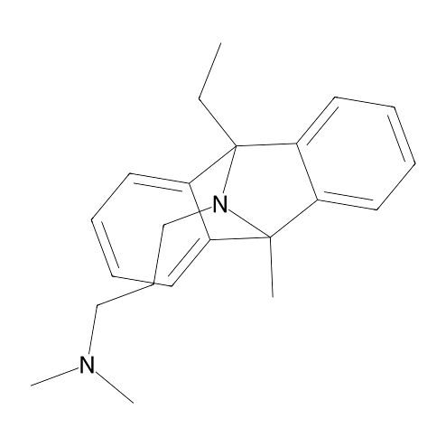 CCC12c3ccccc3C(C)(c3ccccc31)N2CCCN(C)C